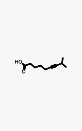 CC(C)C#CCCCCC(=O)O